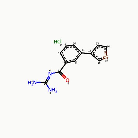 Cl.NC(N)=NC(=O)c1cccc(-c2ccsc2)c1